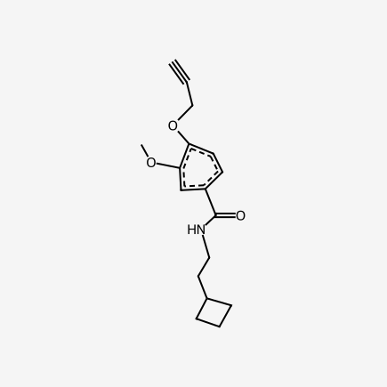 C#CCOc1ccc(C(=O)NCCC2CCC2)cc1OC